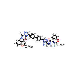 COC(=O)C[C@@H](C(=O)N(C)[C@@H](C)c1ncc(-c2ccc(-c3ccc(-c4cnc([C@H](C)N(C)C(=O)[C@H](NC(=O)OC)c5ccccc5)[nH]4)cc3)cc2)[nH]1)c1ccccc1